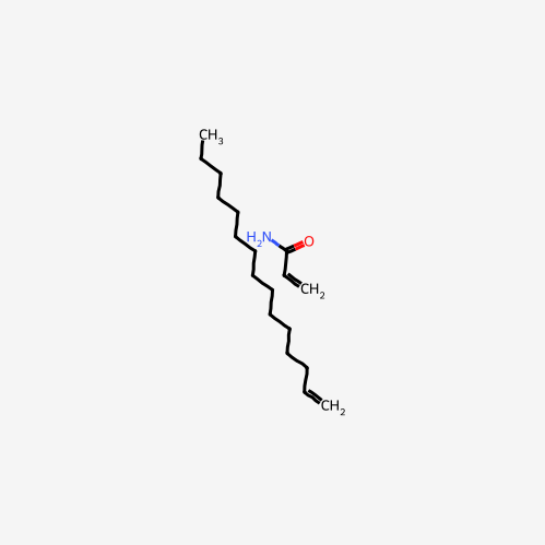 C=CC(N)=O.C=CCCCCCCCCCCCCC